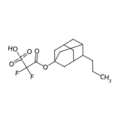 CCCC1C2CC3CC1CC(OC(=O)C(F)(F)S(=O)(=O)O)(C3)C2